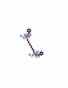 CC(NCCCCCCCCCCCCNC(C)C(=O)NC(=O)c1ccccc1)C(=O)NC(=O)c1ccccc1